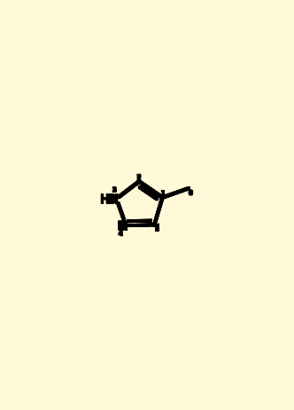 CC1=[CH][BiH][Bi]=[C]1